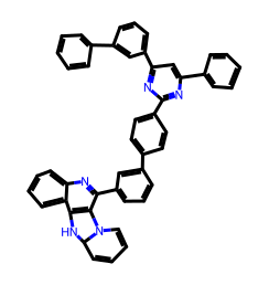 C1=CC2Nc3c(c(-c4cccc(-c5ccc(-c6nc(-c7ccccc7)cc(-c7cccc(-c8ccccc8)c7)n6)cc5)c4)nc4ccccc34)N2C=C1